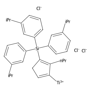 CCCC1=C([Si](c2cccc(C(C)C)c2)(c2cccc(C(C)C)c2)c2cccc(C(C)C)c2)CC=[C]1[Ti+3].[Cl-].[Cl-].[Cl-]